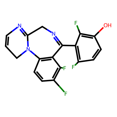 Oc1ccc(F)c(C2=NCC3=NC=CCN3c3ccc(F)c(F)c32)c1F